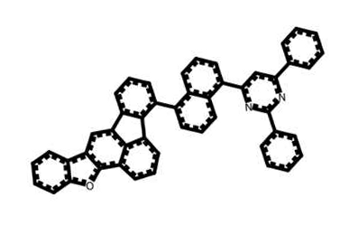 c1ccc(-c2cc(-c3cccc4c(-c5cccc6c5-c5cccc7c5c-6cc5c6ccccc6oc75)cccc34)nc(-c3ccccc3)n2)cc1